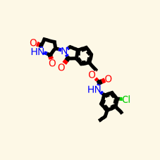 CCc1cc(NC(=O)OCc2ccc3c(c2)C(=O)N(C2CCC(=O)NC2=O)C3)cc(Cl)c1C